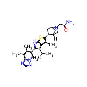 Cc1c(-c2[nH]c3sc([C@H]4CC5C[C@@H]4CN5CC(N)=O)c(C)c3c2C(C)C)cn2ncnc2c1C